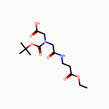 CCOC(=O)CCNC(=O)CN(CC(=O)O)C(=O)OC(C)(C)C